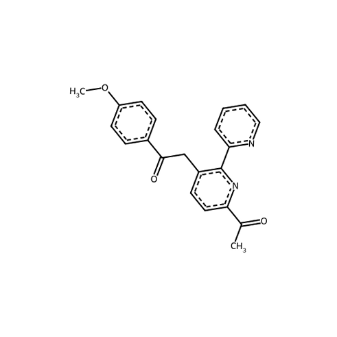 COc1ccc(C(=O)Cc2ccc(C(C)=O)nc2-c2ccccn2)cc1